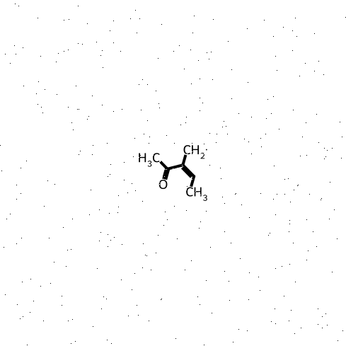 [CH2]/C(=C/C)C(C)=O